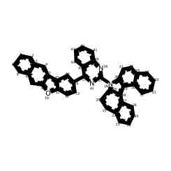 c1ccc2cc3c(cc2c1)oc1ccc(-c2nc(-n4c5ccc6ccccc6c5c5c6ccccc6ccc54)nc4ccccc24)cc13